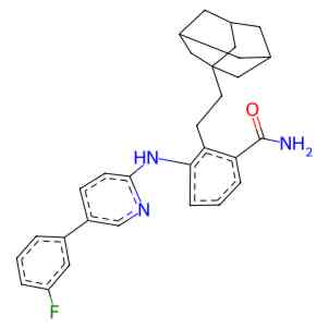 NC(=O)c1cccc(Nc2ccc(-c3cccc(F)c3)cn2)c1CCC12CC3CC(CC(C3)C1)C2